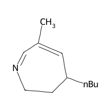 CCCCC1C=C(C)C=NCC1